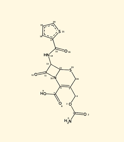 NC(=O)OCC1=C(C(=O)O)N2C(=O)C(NC(=O)c3cccs3)C2SC1